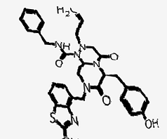 C=CCN1CC(=O)N2C(CN(Cc3cccc4sc(C)nc34)C(=O)[C@@H]2Cc2ccc(O)cc2)N1C(=O)NCc1ccccc1